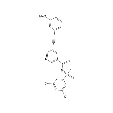 COc1cccc(C#Cc2cncc(C(=O)N=S(C)(=O)c3cc(Cl)cc(Cl)c3)c2)c1